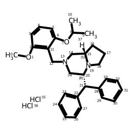 COc1cccc(OC(C)C)c1CN1C[C@@H]2CCCN2[C@H](C(c2ccccc2)c2ccccc2)C1.Cl.Cl